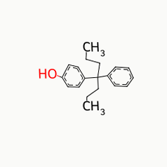 CCCC(CCC)(c1ccccc1)c1ccc(O)cc1